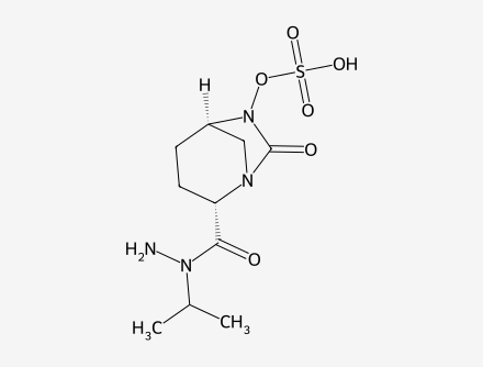 CC(C)N(N)C(=O)[C@@H]1CC[C@@H]2CN1C(=O)N2OS(=O)(=O)O